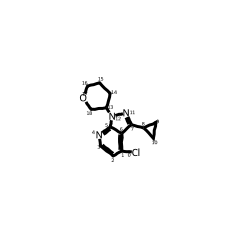 Clc1ccnc2c1c(C1CC1)nn2C1CCCOC1